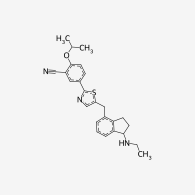 CCNC1CCc2c(Cc3cnc(-c4ccc(OC(C)C)c(C#N)c4)s3)cccc21